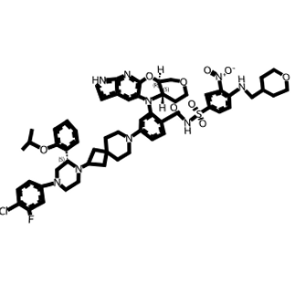 CC(C)Oc1ccccc1[C@H]1CN(c2ccc(Cl)c(F)c2)CCN1C1CC2(CCN(c3ccc(C(=O)NS(=O)(=O)c4ccc(NCC5CCOCC5)c([N+](=O)[O-])c4)c(N4c5cc6cc[nH]c6nc5O[C@H]5COCC[C@@H]54)c3)CC2)C1